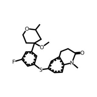 COC1(c2cc(F)cc(Sc3ccc4c(c3)CCC(=O)N4C)c2)CCOC(C)C1